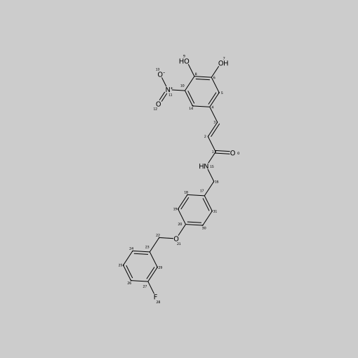 O=C(/C=C/c1cc(O)c(O)c([N+](=O)[O-])c1)NCc1ccc(OCc2cccc(F)c2)cc1